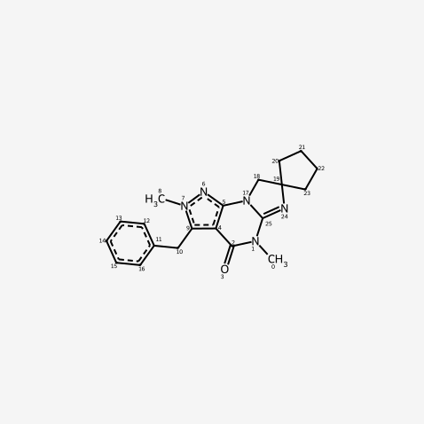 CN1C(=O)c2c(nn(C)c2Cc2ccccc2)N2CC3(CCCC3)N=C12